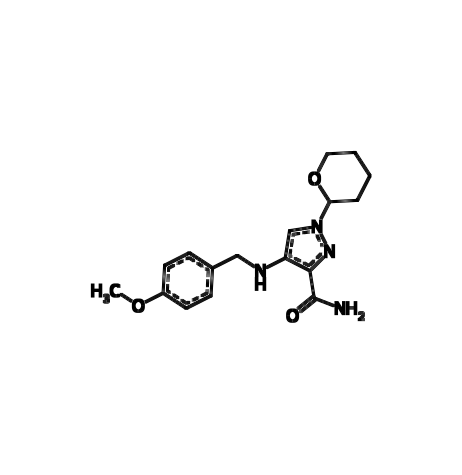 COc1ccc(CNc2cn(C3CCCCO3)nc2C(N)=O)cc1